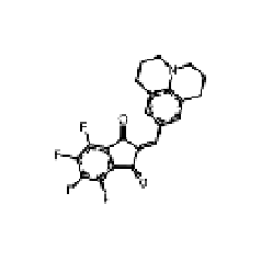 O=C1C(=Cc2cc3c4c(c2)CCCN4CCC3)C(=O)c2c(F)c(F)c(F)c(F)c21